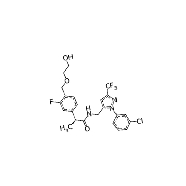 C[C@H](C(=O)NCc1cc(C(F)(F)F)nn1-c1cccc(Cl)c1)c1ccc(COCCO)c(F)c1